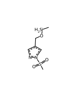 C[SiH2]OCc1cnn(S(C)(=O)=O)c1